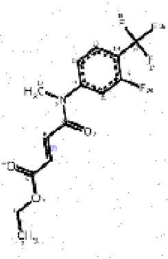 CCOC(=O)/C=C/C(=O)N(C)c1ccc(C(F)(F)F)c(F)c1